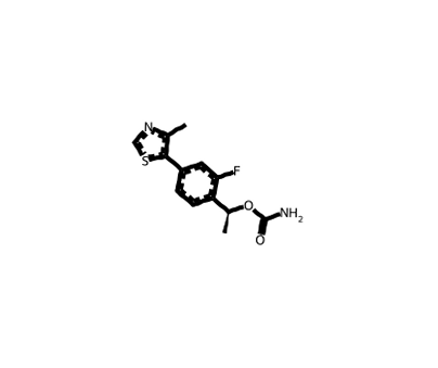 Cc1ncsc1-c1ccc([C@H](C)OC(N)=O)c(F)c1